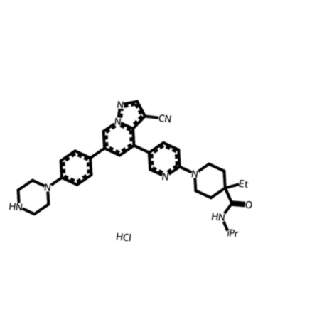 CCC1(C(=O)NC(C)C)CCN(c2ccc(-c3cc(-c4ccc(N5CCNCC5)cc4)cn4ncc(C#N)c34)cn2)CC1.Cl